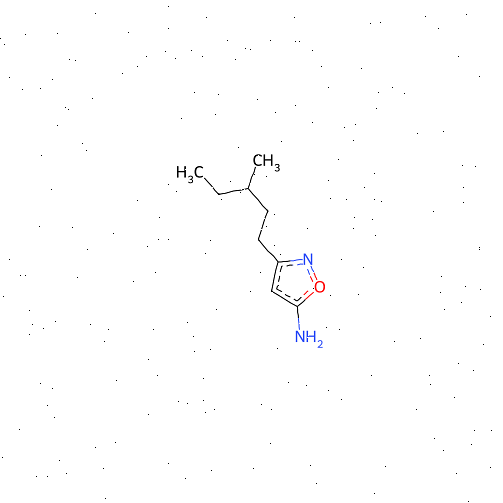 CCC(C)CCc1cc(N)on1